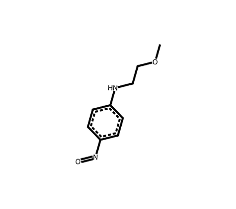 COCCNc1ccc(N=O)cc1